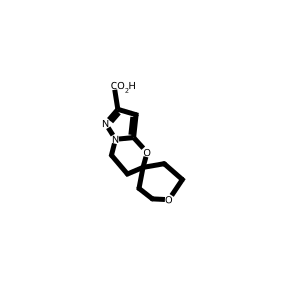 O=C(O)c1cc2n(n1)CCC1(CCOCC1)O2